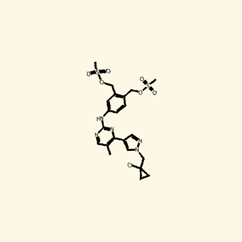 Cc1cnc(Nc2ccc(COS(C)(=O)=O)c(COS(C)(=O)=O)c2)nc1-c1cnn(CC2(Cl)CC2)c1